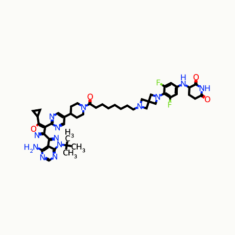 CC(C)(C)n1nc(-c2noc(C3CC3)c2-c2ncc(C3CCN(C(=O)CCCCCCCN4CC5(C4)CN(c4c(F)cc(NC6CCC(=O)NC6=O)cc4F)C5)CC3)cn2)c2c(N)ncnc21